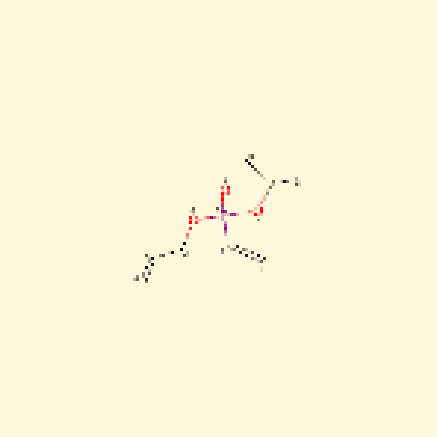 C=CCOP(=O)(C=C)OC(C)C